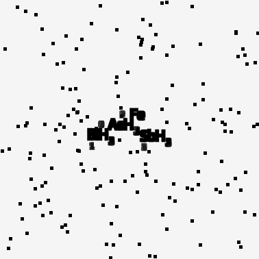 [AsH3].[BiH3].[Fe].[SbH3]